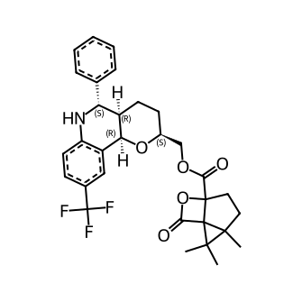 CC1(C)C2(C)CCC3(C(=O)OC[C@@H]4CC[C@@H]5[C@@H](c6ccccc6)Nc6ccc(C(F)(F)F)cc6[C@@H]5O4)OC(=O)C312